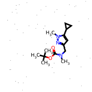 CN(Cc1cc(C2CC2)n(C)n1)C(=O)OC(C)(C)C